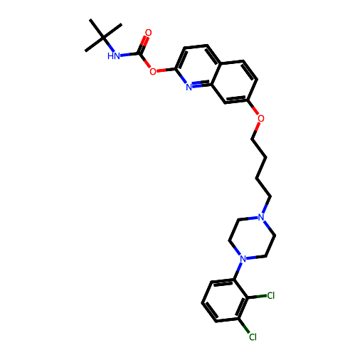 CC(C)(C)NC(=O)Oc1ccc2ccc(OCCCCN3CCN(c4cccc(Cl)c4Cl)CC3)cc2n1